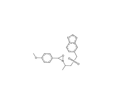 COc1ccc(C2ON2C(C)CS(=O)(=O)Cc2ccc3sccc3c2)cc1